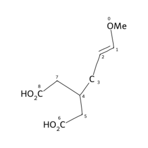 COC=CCC(CC(=O)O)CC(=O)O